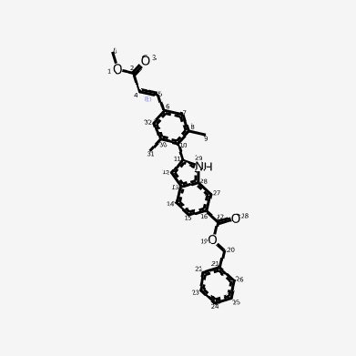 COC(=O)/C=C/c1cc(C)c(-c2cc3ccc(C(=O)OCc4ccccc4)cc3[nH]2)c(C)c1